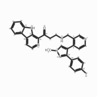 Cn1cc(-c2ccncc2CNCCC(=O)c2nccc3c2[nH]c2ccccc23)c(-c2ccc(F)cc2)n1